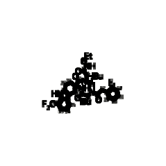 CCONC(=O)[C@@H](NC(=O)[C@@]1(NC(=O)[C@@H](NC(=O)Cc2ccccc2F)C(C)CC)CCc2[nH]c3c(C(F)(F)F)cccc3c2C1)C(C)CC